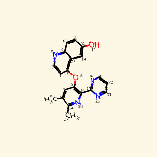 Cc1cc(Oc2ccnc3ccc(O)cc23)c(-c2ncccn2)nc1C